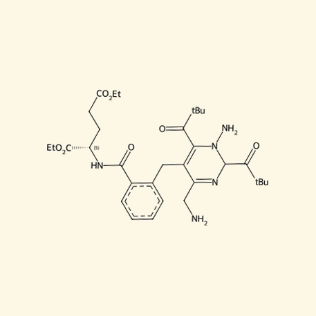 CCOC(=O)CC[C@H](NC(=O)c1ccccc1CC1=C(C(=O)C(C)(C)C)N(N)C(C(=O)C(C)(C)C)N=C1CN)C(=O)OCC